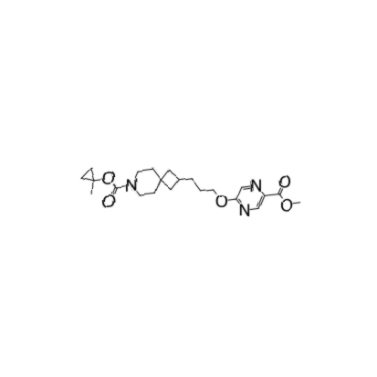 COC(=O)c1cnc(OCCCC2CC3(CCN(C(=O)OC4(C)CC4)CC3)C2)cn1